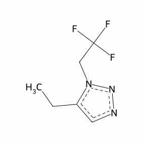 CCc1cnnn1CC(F)(F)F